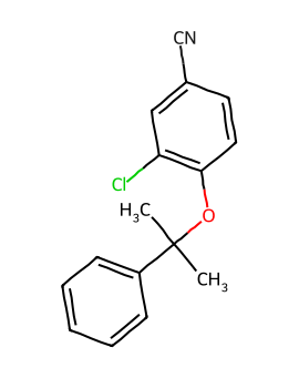 CC(C)(Oc1ccc(C#N)cc1Cl)c1ccccc1